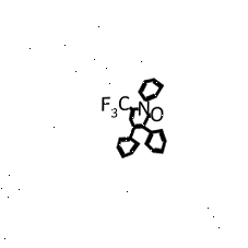 O=c1c(-c2ccccc2)c(-c2ccccc2)cc(C(F)(F)F)n1-c1ccccc1